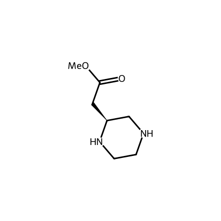 COC(=O)C[C@H]1CNCCN1